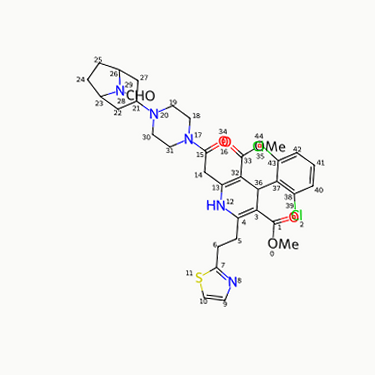 COC(=O)C1=C(CCc2nccs2)NC(CC(=O)N2CCN(C3CC4CCC(C3)N4C=O)CC2)=C(C(=O)OC)C1c1c(Cl)cccc1Cl